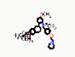 CCN(Cc1ccc(OCCN2CCCCC2)cc1)c1cc(OC)ccc1C1CCCc2cc(O[Si](C)(C)C(C)(C)C)ccc2C1